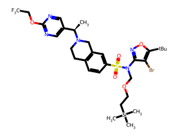 C[C@H](c1cnc(OCC(F)(F)F)nc1)N1CCc2ccc(S(=O)(=O)N(COCC[Si](C)(C)C)c3noc(C(C)(C)C)c3Br)cc2C1